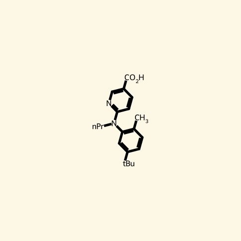 CCCN(c1ccc(C(=O)O)cn1)c1cc(C(C)(C)C)ccc1C